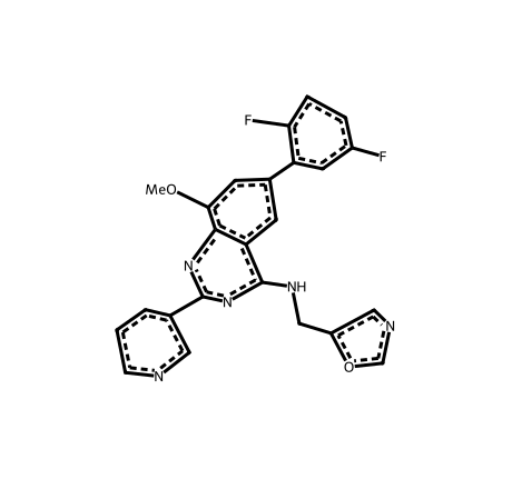 COc1cc(-c2cc(F)ccc2F)cc2c(NCc3cnco3)nc(-c3cccnc3)nc12